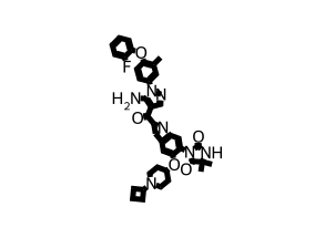 Cc1cc(-n2ncc(C(=O)C3C4c5cc(OC6CCN(C7CCC7)CC6)c(N6C(=O)NC(C)(C)C6=O)cc5N34)c2N)ccc1Oc1ccccc1F